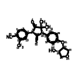 CC1(C)C(=O)N(c2ccc(C#N)c(C(F)(F)F)c2)C(=S)N1c1ccc(O[C@H]2COC[C@@H]2O)cc1